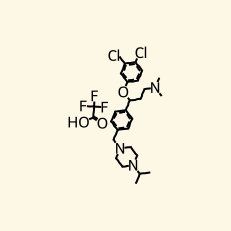 CC(C)N1CCN(Cc2ccc(C(CCN(C)C)Oc3ccc(Cl)c(Cl)c3)cc2)CC1.O=C(O)C(F)(F)F